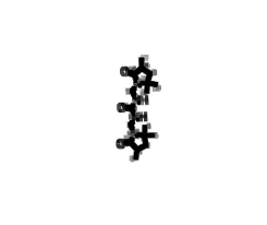 CC1CC(C)(C)N(CNC(=O)NCN2C(=O)C(C)CC2(C)C)C1=O